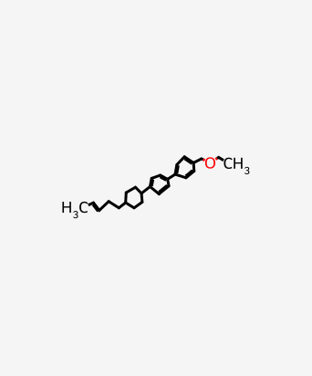 CC=CCCC1CCC(c2ccc(-c3ccc(COCC)cc3)cc2)CC1